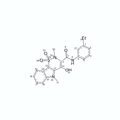 CCc1cccc(NC(=O)C2=C(O)c3c(c4ccccc4n3C)S(=O)(=O)N2C)c1